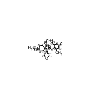 COC(=O)C1(N(C(=O)Cc2c(C)cc(Cl)cc2C)N2CCOCC2)CCN(OC)CC1